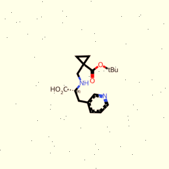 CC(C)(C)OC(=O)C1(CN[C@H](Cc2cccnc2)C(=O)O)CC1